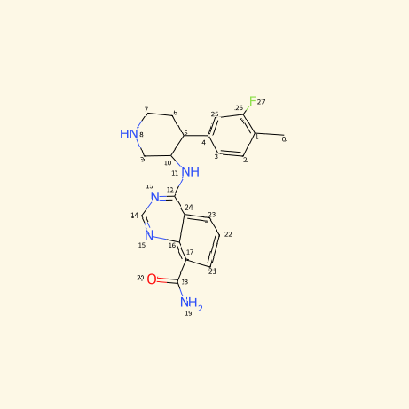 Cc1ccc(C2CCNCC2Nc2ncnc3c(C(N)=O)cccc23)cc1F